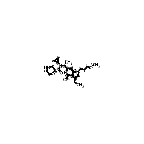 CCc1cn(CCCOC)c2cc([C@@H](C)N(C(=O)[C@H]3CNCCO3)C3CC3)nc(Cl)c12